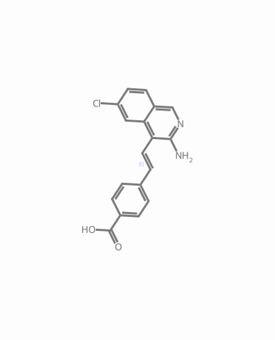 Nc1ncc2ccc(Cl)cc2c1/C=C/c1ccc(C(=O)O)cc1